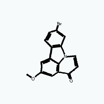 COc1cc2c(=O)ccn3c4cc(Br)ccc4c(c1)c23